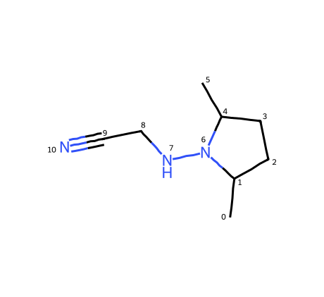 CC1CCC(C)N1NCC#N